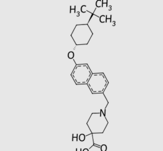 CC(C)(C)[C@H]1CC[C@H](Oc2ccc3cc(CN4CCC(O)(C(=O)O)CC4)ccc3c2)CC1